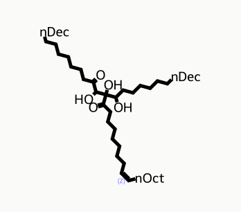 CCCCCCCC/C=C\CCCCCCCC(=O)C(O)(C(O)CCCCCCCCCCCCCCCC)C(O)C(=O)CCCCCCCCCCCCCCCCC